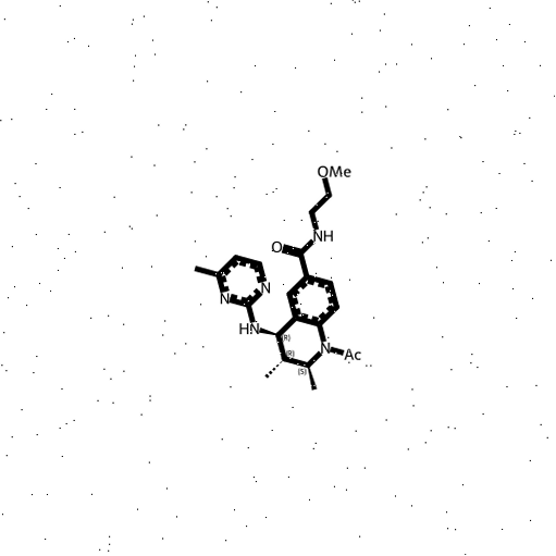 COCCNC(=O)c1ccc2c(c1)[C@H](Nc1nccc(C)n1)[C@@H](C)[C@H](C)N2C(C)=O